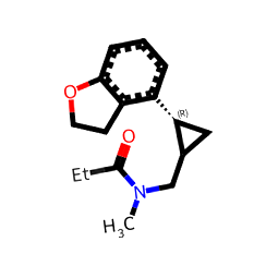 CCC(=O)N(C)CC1C[C@H]1c1cccc2c1CCO2